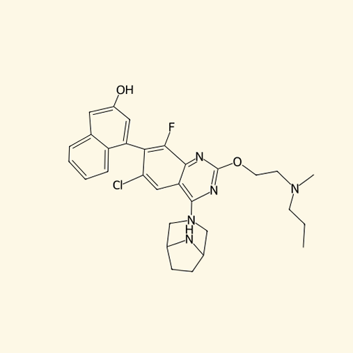 CCCN(C)CCOc1nc(N2CC3CCC(C2)N3)c2cc(Cl)c(-c3cc(O)cc4ccccc34)c(F)c2n1